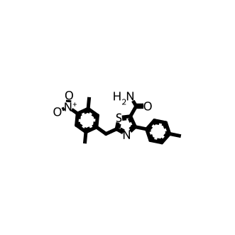 Cc1ccc(-c2nc(Cc3cc(C)c([N+](=O)[O-])cc3C)sc2C(N)=O)cc1